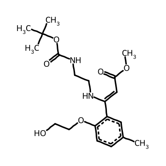 COC(=O)C=C(NCCNC(=O)OC(C)(C)C)c1cc(C)ccc1OCCO